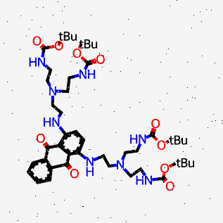 CC(C)(C)OC(=O)NCCN(CCNC(=O)OC(C)(C)C)CCNc1ccc(NCCN(CCNC(=O)OC(C)(C)C)CCNC(=O)OC(C)(C)C)c2c1C(=O)c1ccccc1C2=O